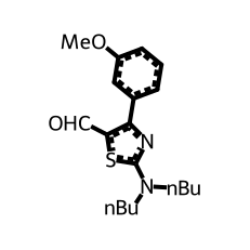 CCCCN(CCCC)c1nc(-c2cccc(OC)c2)c(C=O)s1